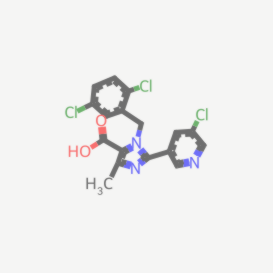 Cc1nc(-c2cncc(Cl)c2)n(Cc2cc(Cl)ccc2Cl)c1C(=O)O